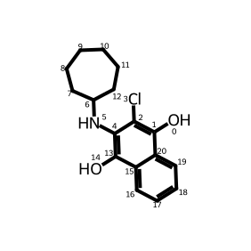 Oc1c(Cl)c(NC2CCCCCC2)c(O)c2ccccc12